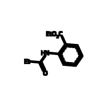 CCOC(=O)c1ccccc1NC(=O)CC